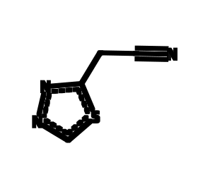 N#CCc1nncs1